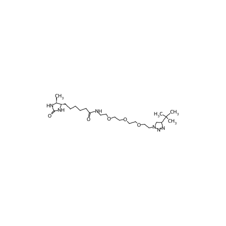 C[C@@H]1NC(=O)N[C@@H]1CCCCCC(=O)NCCOCCOCCOCCN1CC(C(C)(C)C)N=N1